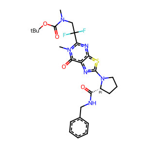 CN(CC(F)(F)c1nc2sc(N3CCC[C@@H]3C(=O)NCc3ccccc3)nc2c(=O)n1C)C(=O)OC(C)(C)C